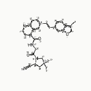 Cc1coc2cc(C=Cc3ccc4nccc(C(=O)NCC(=O)N5CC(F)(F)CC5C#N)c4c3)ccc12